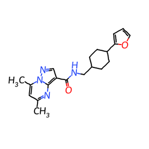 Cc1cc(C)n2ncc(C(=O)NCC3CCC(c4ccco4)CC3)c2n1